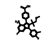 COCC(C)(C)c1c(-c2ccc(C(=O)O)cc2)c2c(N)cc(F)cc2n1-c1ccc(F)c(C)c1